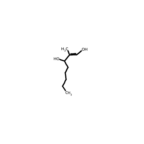 CCCCCC(O)C(C)=CO